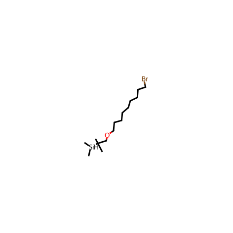 C[SiH](C)C(C)(C)COCCCCCCCCCBr